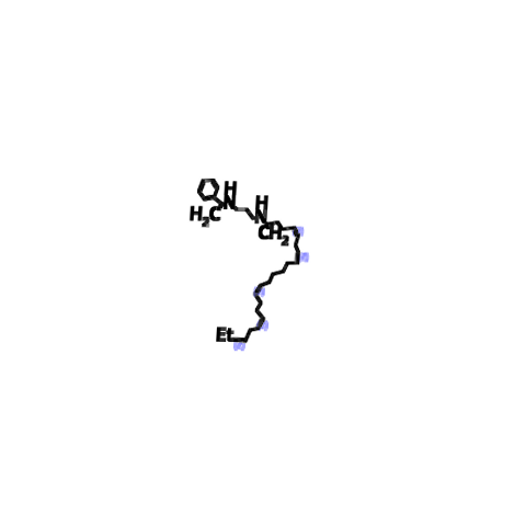 C=C(CC/C=C\C/C=C\CCCC/C=C\CC/C=C\C/C=C\CC)NCCCNC(=C)c1ccccc1